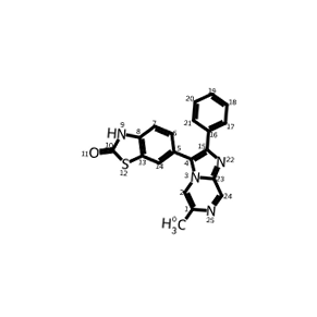 Cc1cn2c(-c3ccc4[nH]c(=O)sc4c3)c(-c3ccccc3)nc2cn1